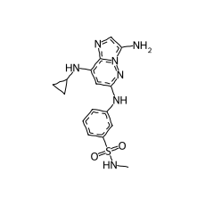 CNS(=O)(=O)c1cccc(Nc2cc(NC3CC3)c3ncc(N)n3n2)c1